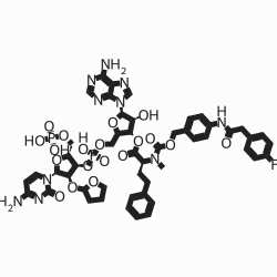 CN(C(=O)OCc1ccc(NC(=O)Cc2ccc(F)cc2)cc1)[C@@H](CCc1ccccc1)C(=O)O[C@@H]1C(COP(=O)(O)O[C@H]2[C@@H](OC3CCCO3)[C@H](n3ccc(N)nc3=O)O[C@@H]2COP(=O)(O)O)O[C@@H](n2cnc3c(N)ncnc32)[C@@H]1O